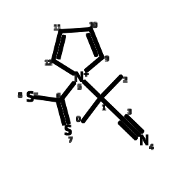 CC(C)(C#N)[N+]1(C(=S)[S-])C=CC=C1